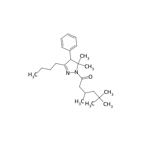 CCCCC1=NN(C(=O)CC(C)CC(C)(C)C)C(C)(C)C1c1ccccc1